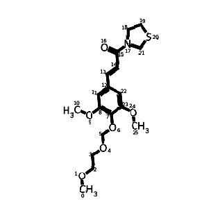 COCCOCOc1c(OC)cc(C=CC(=O)N2CCSC2)cc1OC